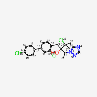 CC(n1cncn1)C(O)(Cc1ccc(-c2ccc(Cl)cc2)cc1Cl)C1(Cl)CC1